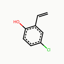 C=Cc1cc(Cl)ccc1O